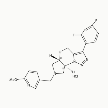 COc1ccc(CN2C[C@@H]3OCc4c(-c5ccc(F)cc5F)nnn4[C@H]3C2)cn1.Cl